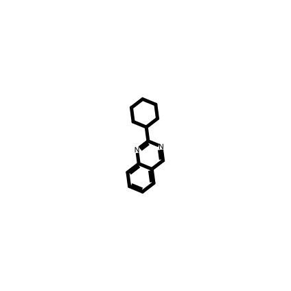 c1ccc2nc(C3CCCCC3)ncc2c1